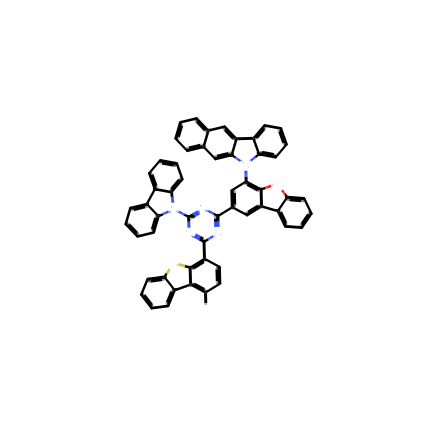 Cc1ccc(-c2nc(-c3cc(-n4c5ccccc5c5cc6ccccc6cc54)c4oc5ccccc5c4c3)nc(-n3c4ccccc4c4ccccc43)n2)c2sc3ccccc3c12